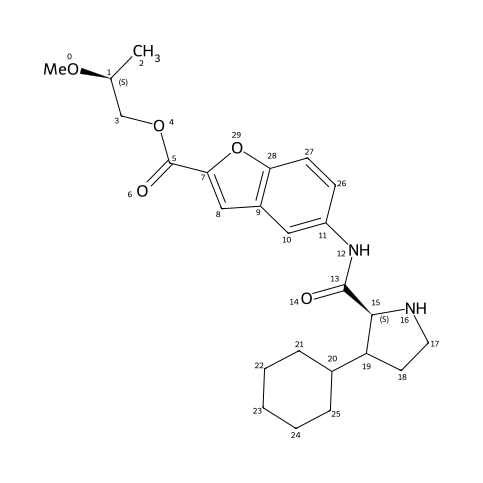 CO[C@@H](C)COC(=O)c1cc2cc(NC(=O)[C@H]3NCCC3C3CCCCC3)ccc2o1